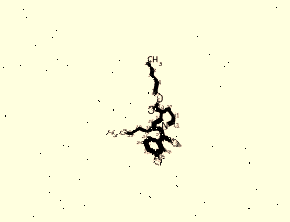 CCCCCCOC(=O)C1CCCn2c1cc(CCCC)c2C(=O)c1cccc(Cl)c1